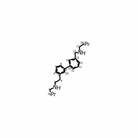 CC(C)CNCCc1cccc(-c2cccc(CNCC(C)C)c2)c1